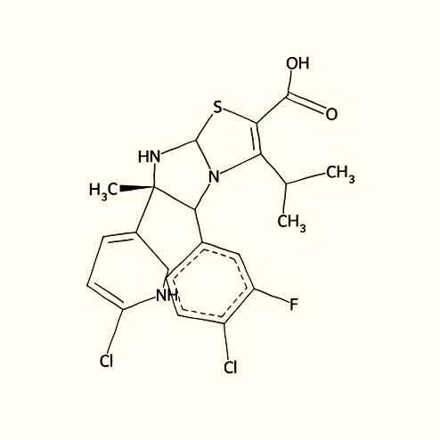 CC(C)C1=C(C(=O)O)SC2N[C@@](C)(C3=CC=C(Cl)NC3)C(c3ccc(Cl)c(F)c3)N12